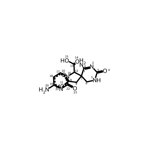 NC1=NC(=O)NCC1(CC(=O)O)C(C(=O)O)n1ccc(N)nc1=O